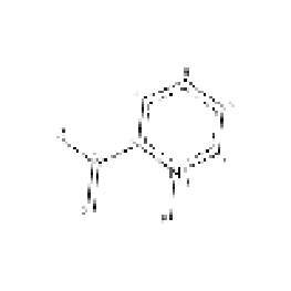 C=C(C)c1cccc[n+]1C